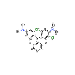 CCN(CC)c1ccc(C(c2ccccc2C)c2cc(Cl)c(N(CC)CC)cc2Cl)c(C)c1